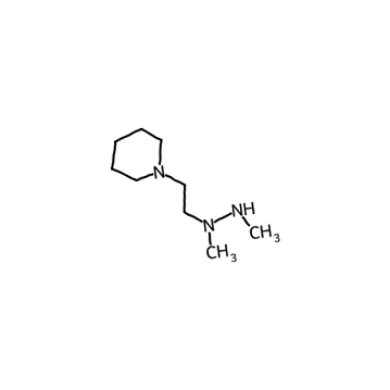 CNN(C)CCN1CCCCC1